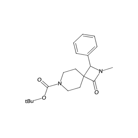 CN1C(=O)C2(CCN(C(=O)OC(C)(C)C)CC2)C1c1ccccc1